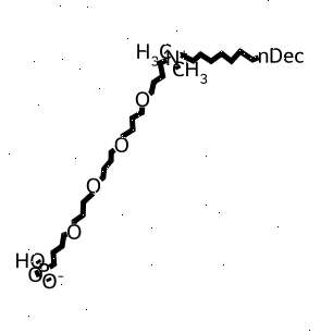 CCCCCCCCCCCCCCCCCC[N+](C)(C)CCCCOCCCCOCCCCOCCCCOCCCCP(=O)([O-])O